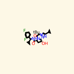 CC(C)(C)[C@H](C(=O)N1C[C@H](O)C[C@H]1C(=O)NC(c1ccc(F)cc1F)C1CC1)n1cc(C2CC2)nn1